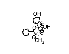 COC(=O)C(OC(C=O)(c1ccc(O)cc1)S(=O)(=O)O)c1ccccc1